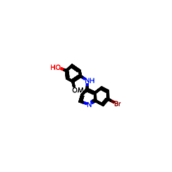 COc1cc(O)ccc1Nc1ccnc2cc(Br)ccc12